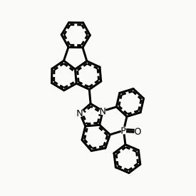 O=P1(c2ccccc2)c2ccccc2-n2c(-c3ccc4c5c(cccc35)-c3ccccc3-4)nc3cccc1c32